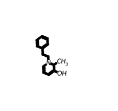 CC1C(O)=CC=CN1CCc1ccccc1